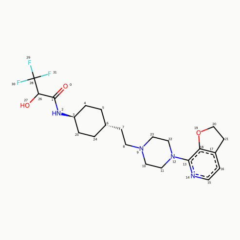 O=C(N[C@H]1CC[C@H](CCN2CCN(c3nccc4c3OCC4)CC2)CC1)C(O)C(F)(F)F